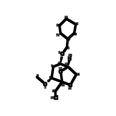 CO[C@@H]1C[C@H](OCC2CCCCC2)[C@H]2COC1(CCl)O2